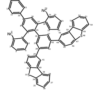 N#Cc1ccccc1-c1cc(-c2ccccc2)cc(-c2ccccc2C#N)c1-c1cc(-c2ccc3sc4ccccc4c3c2)cc(-c2ccc3sc4ccccc4c3c2)c1